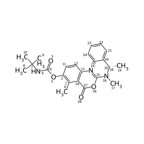 Cc1c(OC(=O)NC(C)(C)C)ccc2nc(N(C)[C@@H](C)c3ccccc3)oc(=O)c12